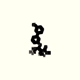 NN/C(Oc1cccc(-c2cccc(Cl)c2)c1)=C(\N)C(=O)O